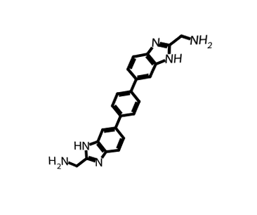 NCc1nc2ccc(-c3ccc(-c4ccc5nc(CN)[nH]c5c4)cc3)cc2[nH]1